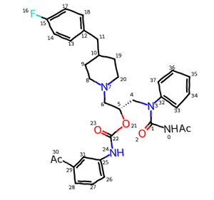 CC(=O)NC(=O)N(C[C@@H](CN1CCC(Cc2ccc(F)cc2)CC1)OC(=O)Nc1cccc(C(C)=O)c1)c1ccccc1